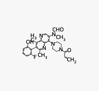 C=CC(=O)N1CCN(c2c(N(C)C=O)cnc3c(C)c(-c4c(O)cccc4F)c(C)nc23)CC1